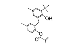 C=C(C)C(=O)Oc1ccc(C)cc1Cc1cc(C)cc(C(C)(C)C)c1O